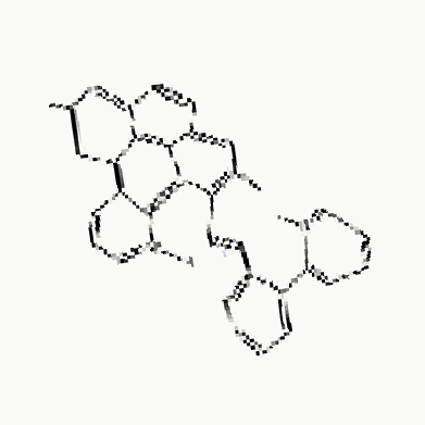 Cc1cc2ccc3cc(C)c(/C=C/c4ccccc4-c4cccc[n+]4I)c4c3c2c(c1)c1ccc[n+](I)c14